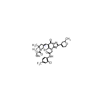 CCc1c(/C=C2\CN(C(=O)OC(C)(C)C)C(C)(C)C2)c(=O)n2nc(C3=CCOC(C)C3)nc2n1CC(=O)Nc1ccc(C(F)(F)F)cc1Cl